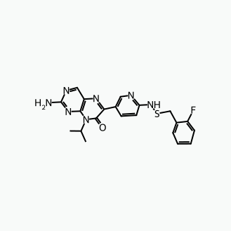 CC(C)n1c(=O)c(-c2ccc(NSCc3ccccc3F)nc2)nc2cnc(N)nc21